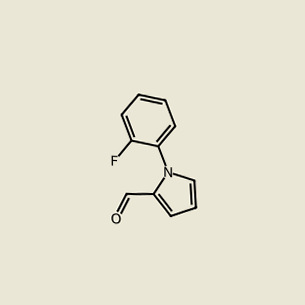 O=Cc1cccn1-c1ccccc1F